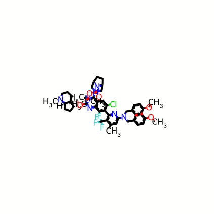 COc1ccc(CN(Cc2ccc(OC)cc2)c2cc(C)c(C(F)(F)F)c(-c3c(Cl)cc4c(N5CC6CCC(C5)N6C(=O)OC(C)(C)C)nc(OC[C@]56CCC[C@H]5N(C)CCC6)nc4c3F)n2)cc1